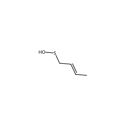 CC=CCSO